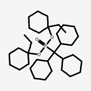 CCC1(OP(=O)(OC2(CC)CCCCC2)C(C2CCCCC2)(C2CCCCC2)C2CCCCC2)CCCCC1